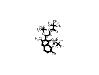 Cc1cc2ccc(Br)cc2c(OS(=O)(=O)C(F)(F)F)c1C(COC(=O)C(C)(C)C)OC(C)(C)C